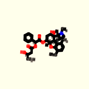 COc1ccc(C)c2c1O[C@H]1C(OC(=O)[C@@H](OC(=O)C[C@H](O)C(=O)O)c3ccccc3)=CC[C@@]3(O)[C@H]4C(CN4C)C[C@]213